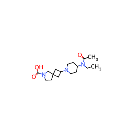 CCN(C(C)=O)C1CCN(C2CC3(CCN(C(=O)O)C3)C2)CC1